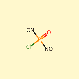 O=NP(=O)(Cl)N=O